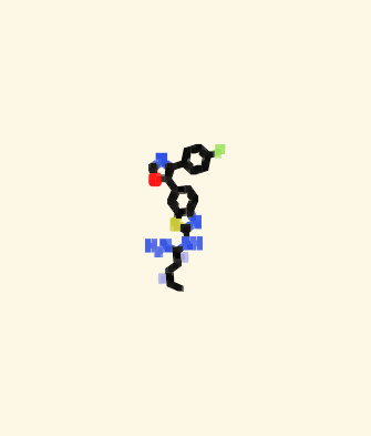 C/C=C\C=C(/N)Nc1nc2ccc(-c3ocnc3-c3ccc(F)cc3)cc2s1